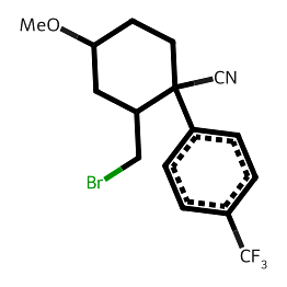 COC1CCC(C#N)(c2ccc(C(F)(F)F)cc2)C(CBr)C1